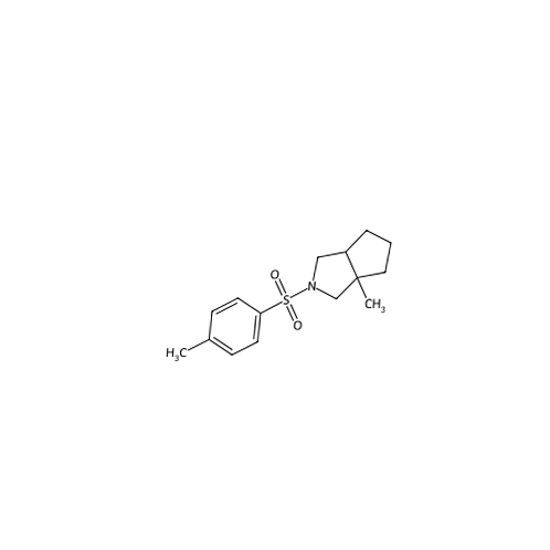 Cc1ccc(S(=O)(=O)N2CC3CCCC3(C)C2)cc1